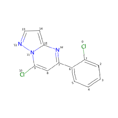 Clc1ccccc1-c1cc(Cl)n2nccc2n1